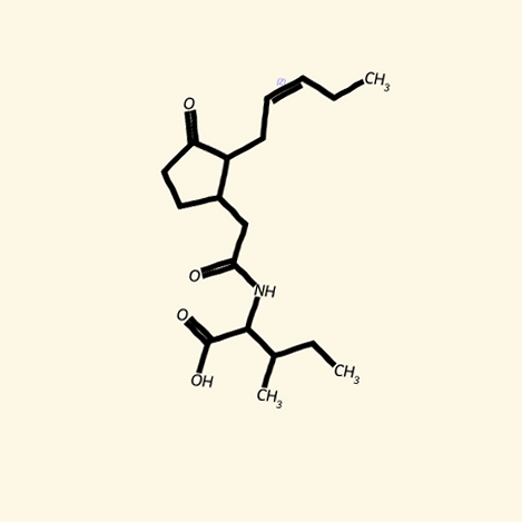 CC/C=C\CC1C(=O)CCC1CC(=O)NC(C(=O)O)C(C)CC